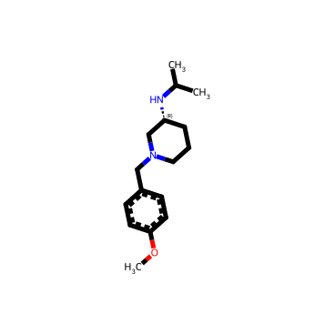 COc1ccc(CN2CCC[C@@H](NC(C)C)C2)cc1